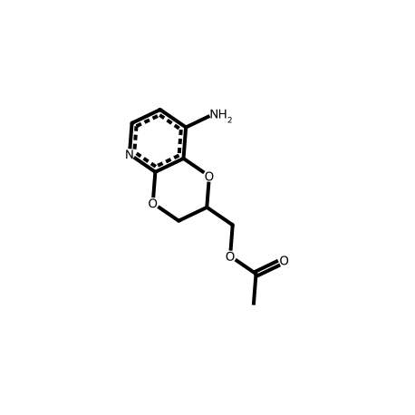 CC(=O)OCC1COc2nccc(N)c2O1